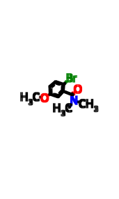 COc1ccc(Br)c(C(=O)N(C)C)c1